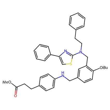 COC(=O)CCc1ccc(NCc2ccc(OCC(C)C)c(CN(CCc3ccccc3)c3nc(-c4ccccc4)cs3)c2)cc1